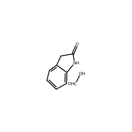 O=C1Cc2ccccc2N1.O=CO